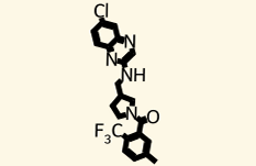 Cc1ccc(C(F)(F)F)c(C(=O)N2CCC(CNc3cnc4cc(Cl)ccc4n3)C2)c1